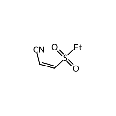 CCS(=O)(=O)/C=C\C#N